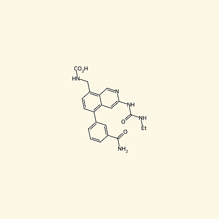 CCNC(=O)Nc1cc2c(-c3cccc(C(N)=O)c3)ccc(CNC(=O)O)c2cn1